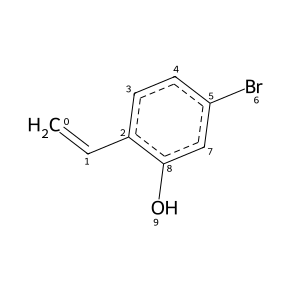 C=Cc1ccc(Br)cc1O